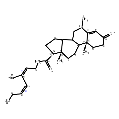 CN1CC2C(CC[C@@]3(C)C2CC[C@@H]3C(=O)NC/C=C(\C=C/CC(C)(C)C)C(C)(C)C)[C@@]2(C)CCC(=O)C=C12